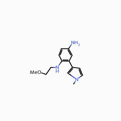 COCCNc1ccc(N)cc1-c1ccn(C)c1